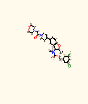 CCC1Oc2ccc(C3=CCN(C(=O)CN4CCOCC4)CC3)cc2C1N(C)C(=O)OCc1cc(Cl)cc(Cl)c1